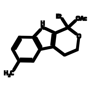 CCC1(OC(C)=O)OCCc2c1[nH]c1ccc(C)cc21